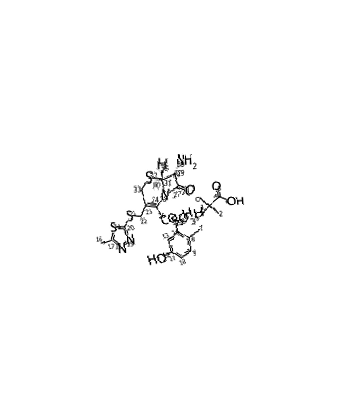 CC(C)(C)C(=O)O.Cc1ccc(O)cc1S(=O)(=O)O.Cc1nnc(SCC2=C(C(=O)O)N3C(=O)[C@@H](N)[C@H]3SC2)s1